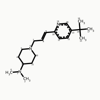 CN(C)C1CCN(C/C=C/c2ccc(C(C)(C)C)cn2)CC1